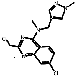 CN(Cc1cnn(C)c1)c1nc(CCl)nc2cc(Cl)ccc12